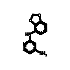 Nc1c[c]nc(Nc2cccc3c2OCO3)c1